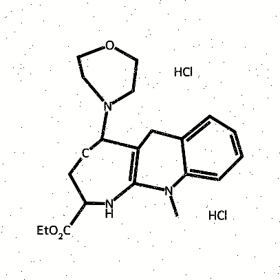 CCOC(=O)C1CCC(N2CCOCC2)C2=C(N1)N(C)c1ccccc1C2.Cl.Cl